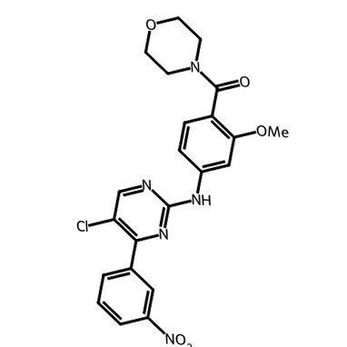 COc1cc(Nc2ncc(Cl)c(-c3cccc([N+](=O)[O-])c3)n2)ccc1C(=O)N1CCOCC1